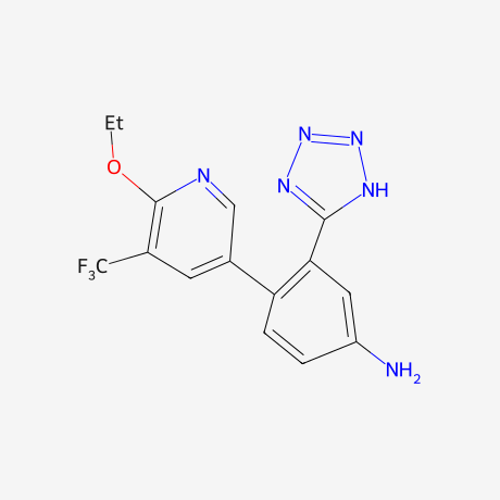 CCOc1ncc(-c2ccc(N)cc2-c2nnn[nH]2)cc1C(F)(F)F